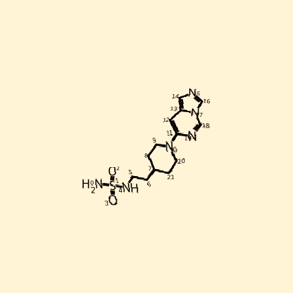 NS(=O)(=O)NCCC1CCN(c2cc3cncn3cn2)CC1